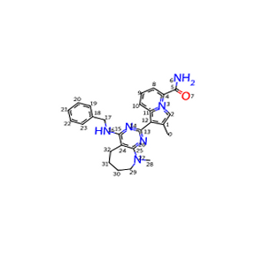 Cc1cn2c(C(N)=O)cccc2c1-c1nc(NCc2ccccc2)c2c(n1)N(C)CCCC2